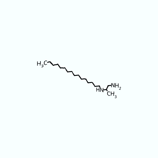 CCCCCCCCCCCCCCCCNC(C)CN